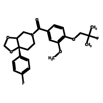 COc1cc(C(=O)N2CC[C@]3(c4ccc(F)cc4)OCOC3C2)ccc1OCC(C)(C)F